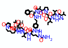 CCC(C)C(C(CC(=O)N1CCCC1C(OC)C(C)C(=O)N[C@@H](Cc1ccccc1)C(=O)NCCc1ccc(NC(=O)C(CCCNC(N)=O)NC(=O)[C@H](NC(=O)C2O[C@@H]3OC(C)(C)O[C@@H]3[C@@H]2NC(=O)CCCCCN2C(=O)C=CC2=O)C(C)C)cc1)OC)N(C)C(=O)[C@@H](NC(=O)C(C(C)C)N(C)C)C(C)C